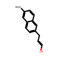 COc1ccc2cc(C/C=C/O)ccc2c1